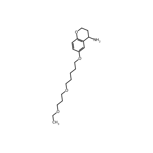 CCOCCCOCCCCCOc1ccc2c(c1)C(N)CCO2